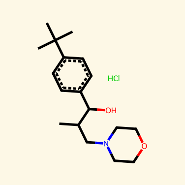 CC(CN1CCOCC1)C(O)c1ccc(C(C)(C)C)cc1.Cl